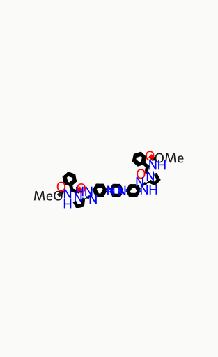 COC(=O)N[C@@H](C(=O)N1CCC[C@H]1c1nc2cc(N3CCN(c4ccc5[nH]c([C@@H]6CCCN6C(=O)[C@H](NC(=O)OC)c6ccccc6)nc5c4)CC3)ccc2[nH]1)c1ccccc1